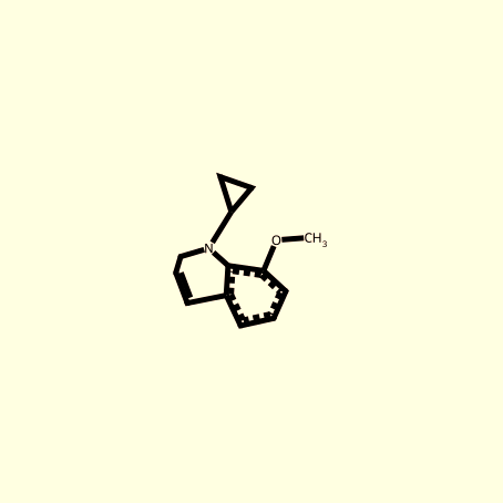 COc1cccc2c1N(C1CC1)CC=C2